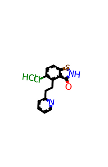 Cl.O=c1[nH]sc2ccc(Cl)c(CCc3ccccn3)c12